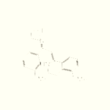 CCOC(=O)C/N=C(/C=C1\NCCc2c(OC)cccc21)c1cccc(OC)c1